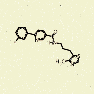 Cc1ncsc1CCCNC(=O)c1ccc(-c2cccc(F)c2)nc1